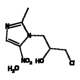 Cc1ncc([N+](=O)[O-])n1CC(O)CCl.O